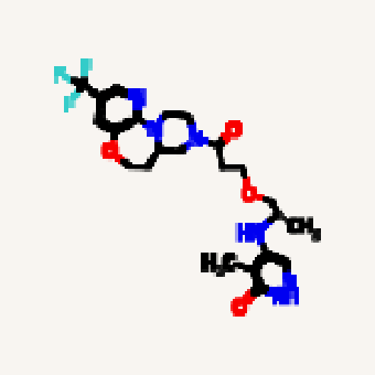 Cc1c(N[C@@H](C)COCCC(=O)N2CCN3c4ncc(C(F)(F)F)cc4OCCC3C2)cn[nH]c1=O